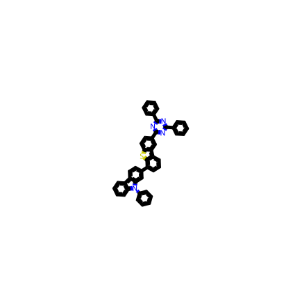 c1ccc(-c2nc(-c3ccccc3)nc(-c3ccc4sc5c(-c6ccc7c8ccccc8n(-c8ccccc8)c7c6)cccc5c4c3)n2)cc1